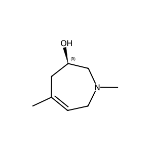 CC1=CCN(C)C[C@H](O)C1